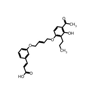 CCCc1c(OCC=CCOc2cccc(C=CC(=O)O)c2)ccc(C(C)=O)c1O